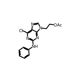 CC(=O)OCCn1cnc2c(Cl)nc(Nc3ccccc3)nc21